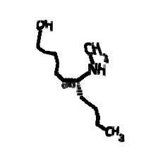 CCCC[C@H](CCCO)NC